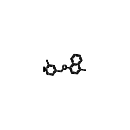 Cc1cc(COc2ccc(C)c3ccccc23)ccn1